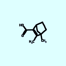 CC1=C(C(=O)O)C2CCC1(C)C2